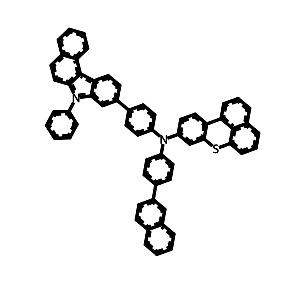 c1ccc(-n2c3cc(-c4ccc(N(c5ccc(-c6ccc7ccccc7c6)cc5)c5ccc6c(c5)Sc5cccc7cccc-6c57)cc4)ccc3c3c4ccccc4ccc32)cc1